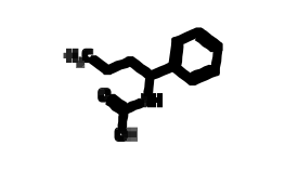 [CH2]CCC(NC(=O)O)c1ccccc1